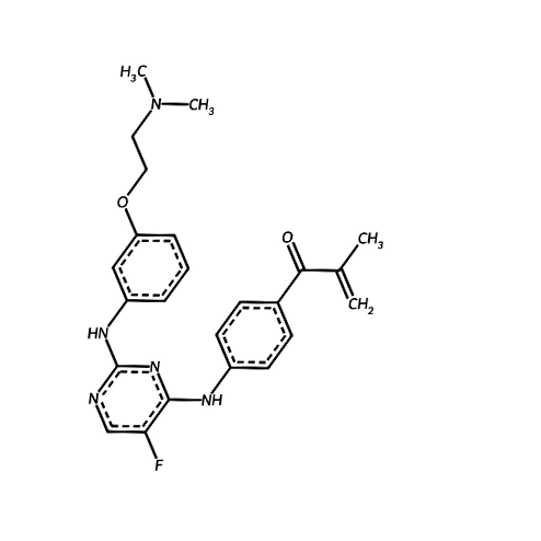 C=C(C)C(=O)c1ccc(Nc2nc(Nc3cccc(OCCN(C)C)c3)ncc2F)cc1